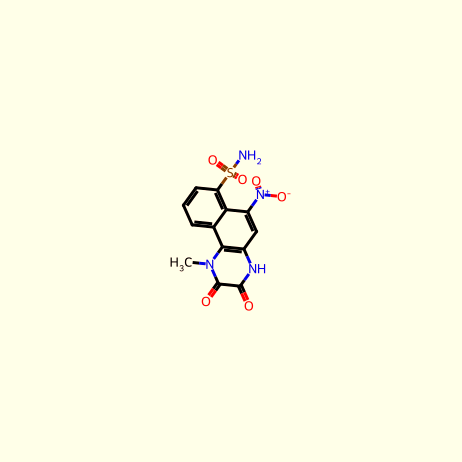 Cn1c(=O)c(=O)[nH]c2cc([N+](=O)[O-])c3c(S(N)(=O)=O)cccc3c21